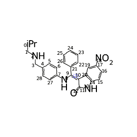 CC(C)CNCc1ccc(N/C(=C2\C(=O)Nc3ccc([N+](=O)[O-])cc32)c2ccccc2)cc1